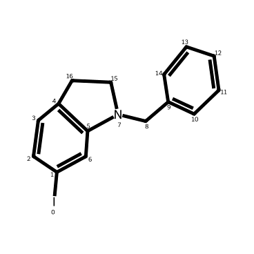 Ic1ccc2c(c1)N(Cc1ccccc1)CC2